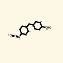 O=C=NC1CCC(CC2CCC(C=O)CC2)CC1